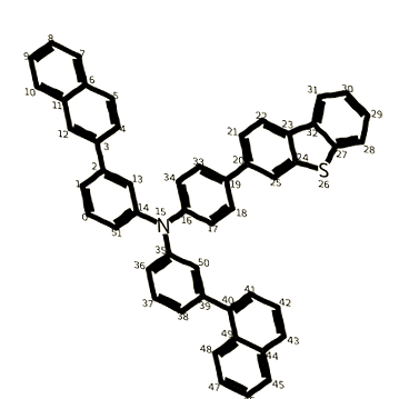 c1cc(-c2ccc3ccccc3c2)cc(N(c2ccc(-c3ccc4c(c3)sc3ccccc34)cc2)c2cccc(-c3cccc4ccccc34)c2)c1